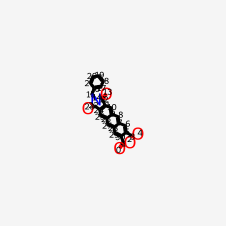 O=c1oc(=O)c2cc3cc4cc5c(=O)n(Cc6ccccc6)c(=O)c5cc4cc3cc12